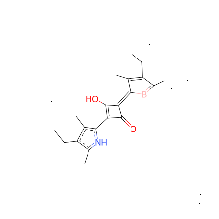 CCC1=C(C)/C(=C2/C(=O)C(c3[nH]c(C)c(CC)c3C)=C2O)B=C1C